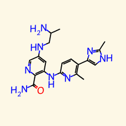 Cc1nc(-c2ccc(Nc3cc(NCC(C)N)cnc3C(N)=O)nc2C)c[nH]1